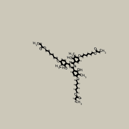 C=CC(=O)OCCCCCCOc1ccc(-c2nc(-c3ccc(OCCCCCCOC(=O)C=C)c(C)c3O)nc(-c3ccc(OCCCCCCOC(=O)C=C)c(C)c3O)n2)c(O)c1C